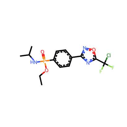 CCOP(=O)(NC(C)C)c1ccc(-c2noc(C(F)(F)Cl)n2)cc1